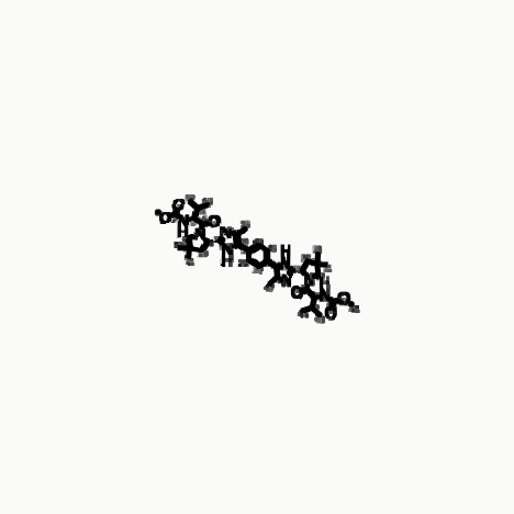 COC(=O)N[C@H](C(=O)N1CC(C)(C)C[C@H]1c1nc(C)c(-c2ccc(-c3[nH]c([C@@H]4CC(C)(C)CN4C(=O)[C@@H](NC(=O)OC)C(C)C)nc3C)cc2)[nH]1)C(C)C